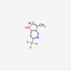 C=C(C)c1cnc(C(F)(F)F)cc1O